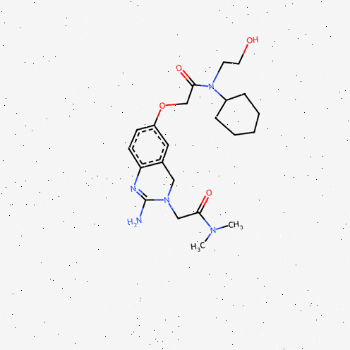 CN(C)C(=O)CN1Cc2cc(OCC(=O)N(CCO)C3CCCCC3)ccc2N=C1N